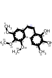 COc1cc(/C=C\c2ccc(C)c(O)c2O)cc(OC)c1OC